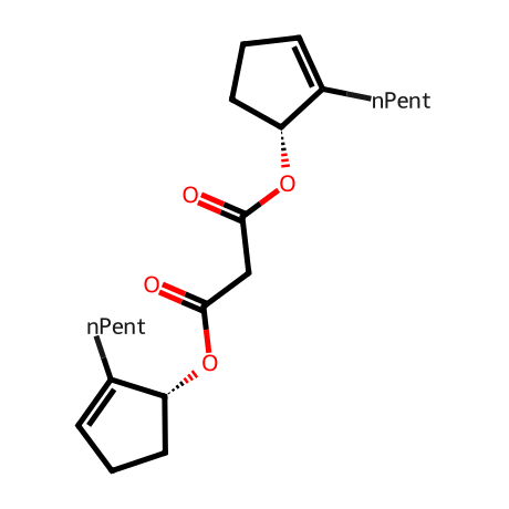 CCCCCC1=CCC[C@H]1OC(=O)CC(=O)O[C@@H]1CCC=C1CCCCC